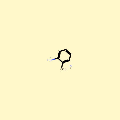 Nc1ccccc1C(=O)O.[N]